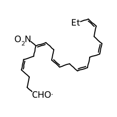 CC/C=C\C/C=C\C/C=C\C/C=C\C/C=C(\C/C=C\CC[C]=O)[N+](=O)[O-]